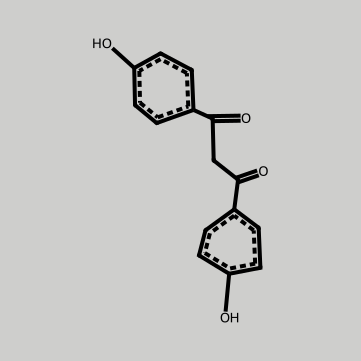 O=C(CC(=O)c1ccc(O)cc1)c1ccc(O)cc1